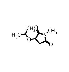 CC(C)OC1CC(=O)N(C)C1=O